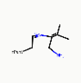 CCCCCC/C=N\C(CN)=C(C)C